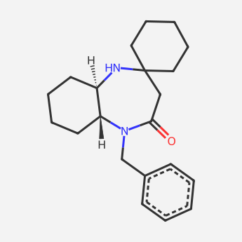 O=C1CC2(CCCCC2)N[C@@H]2CCCC[C@H]2N1Cc1ccccc1